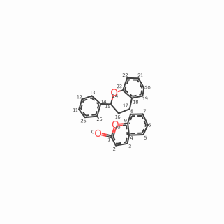 O=c1ccc2ccccc2o1.c1ccc(C2CCc3ccccc3O2)cc1